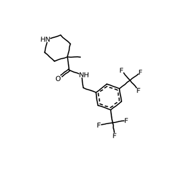 CC1(C(=O)NCc2cc(C(F)(F)F)cc(C(F)(F)F)c2)CCNCC1